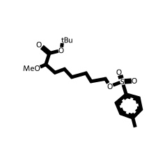 COC(CCCCCCOS(=O)(=O)c1ccc(C)cc1)C(=O)OC(C)(C)C